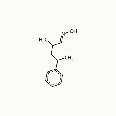 CC(/C=N/O)CC(C)c1ccccc1